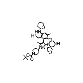 Cc1cc(NC2CCCCO2)c(C=N)c(-c2c(N3CCNCC34CCOC4)nn(C3CCN(C(=O)OC(C)(C)C)CC3)c2C)c1Cl